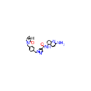 Nc1ccc2c(n1)CC[C@H]2NC(=O)c1cnn(Cc2ccc(CN3CC4C[C@@H]4C3=O)cc2)c1